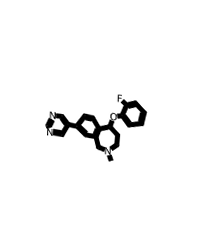 CN1CCC(Oc2ccccc2F)c2ccc(-c3cncnc3)cc2C1